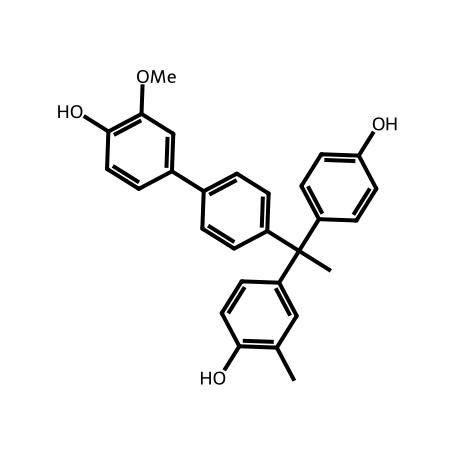 COc1cc(-c2ccc(C(C)(c3ccc(O)cc3)c3ccc(O)c(C)c3)cc2)ccc1O